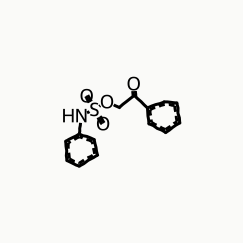 O=C(COS(=O)(=O)Nc1ccccc1)c1ccccc1